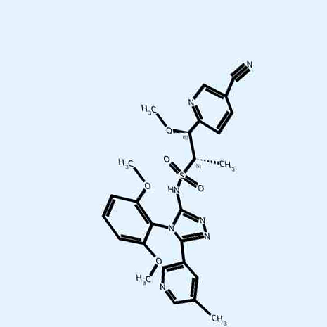 COc1cccc(OC)c1-n1c(NS(=O)(=O)[C@@H](C)[C@@H](OC)c2ccc(C#N)cn2)nnc1-c1cncc(C)c1